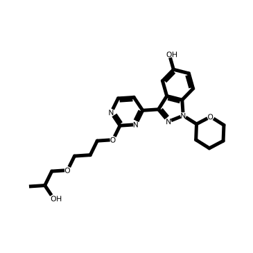 CC(O)COCCCOc1nccc(-c2nn(C3CCCCO3)c3ccc(O)cc23)n1